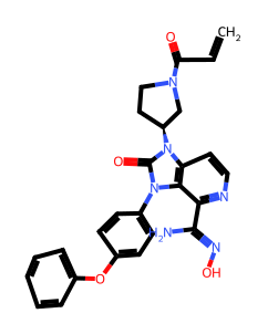 C=CC(=O)N1CC[C@H](n2c(=O)n(-c3ccc(Oc4ccccc4)cc3)c3c(/C(N)=N/O)nccc32)C1